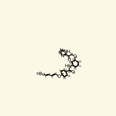 CCCCC=CC=COc1ccc(C(=O)Nc2cccc3c2OC(c2nnn[nH]2)CO3)cc1